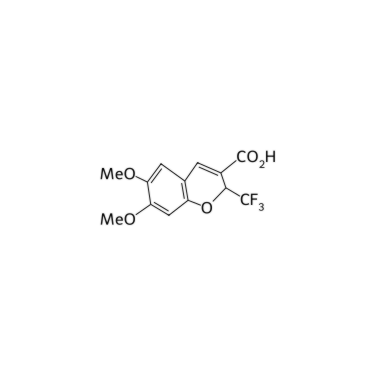 COc1cc2c(cc1OC)OC(C(F)(F)F)C(C(=O)O)=C2